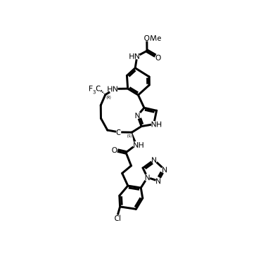 COC(=O)Nc1ccc2c(c1)N[C@@H](C(F)(F)F)CCCC[C@H](NC(=O)CCc1cc(Cl)ccc1-n1cnnn1)c1nc-2c[nH]1